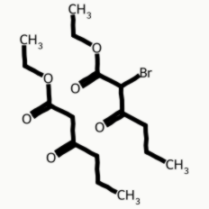 CCCC(=O)C(Br)C(=O)OCC.CCCC(=O)CC(=O)OCC